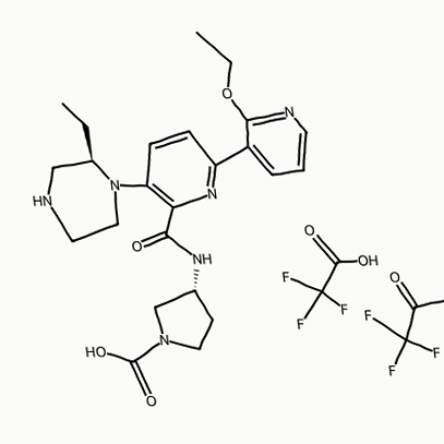 CCOc1ncccc1-c1ccc(N2CCNC[C@H]2CC)c(C(=O)N[C@@H]2CCN(C(=O)O)C2)n1.O=C(O)C(F)(F)F.O=C(O)C(F)(F)F